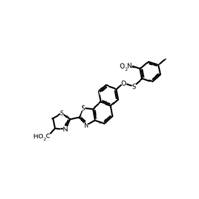 Cc1ccc(SOc2ccc3c(ccc4nc(C5=NC(C(=O)O)CS5)sc43)c2)c([N+](=O)[O-])c1